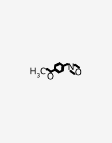 CCC(=O)c1ccc(CN2CCOCC2)cc1